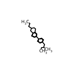 CCCC1CCc2cc(-c3ccc(CC(C)CC)cc3)ccc2C1